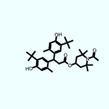 CC(=O)N1C(C)(C)CC(OC(=O)CC(c2cc(C(C)(C)C)c(O)cc2C)c2cc(C(C)(C)C)c(O)cc2C)CC1(C)C